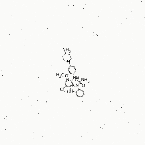 COc1cc(N2CCC(N)CC2)ccc1Nc1ncc(Cl)c(Nc2ccccc2NS(N)(=O)=O)n1